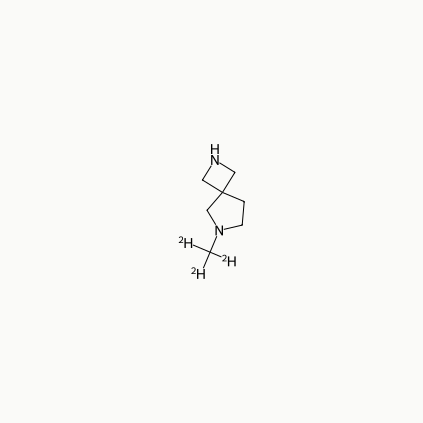 [2H]C([2H])([2H])N1CCC2(CNC2)C1